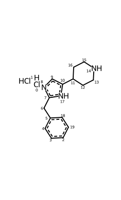 Cl.Cl.c1ccc(Cc2ncc(C3CCNCC3)[nH]2)cc1